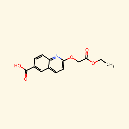 CCOC(=O)COc1ccc2cc(C(=O)O)ccc2n1